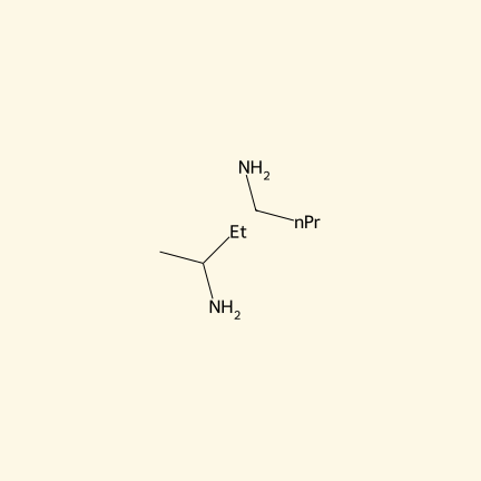 CCC(C)N.CCCCN